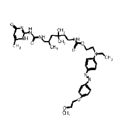 CCN(CCOC(=O)NCCC(C)(C)CC(C)CNC(=O)Nc1nc(=O)cc(C)[nH]1)c1ccc(/N=N/c2ccc(OCCOC)cc2)cc1